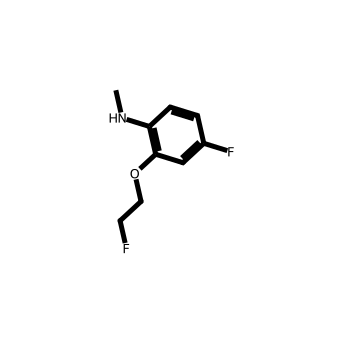 CNc1ccc(F)cc1OCCF